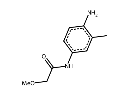 COCC(=O)Nc1ccc(N)c(C)c1